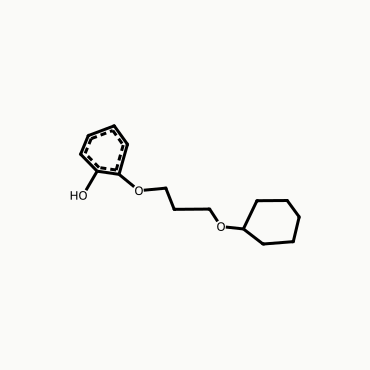 Oc1ccccc1OCCCOC1CCCCC1